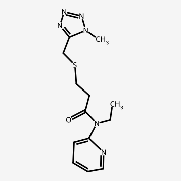 CCN(C(=O)CCSCc1nnnn1C)c1ccccn1